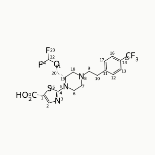 O=C(O)c1cnc(N2CCN(CCc3ccc(C(F)(F)F)cc3)C[C@H]2COC(F)F)s1